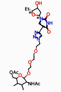 CC[C@H]1O[C@@H](n2cc(-c3cn(CCOCCOCCOC4OC(COC(C)=O)C(C)C(C)C4NC(C)=O)nn3)c(=O)[nH]c2=O)CC1O